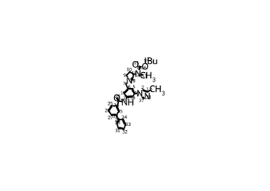 Cc1cn(-c2cc(CN3CC[C@H](N(C)C(=O)OC(C)(C)C)C3)cc(NC(=O)c3cccc(-c4ccccc4)c3)c2)cn1